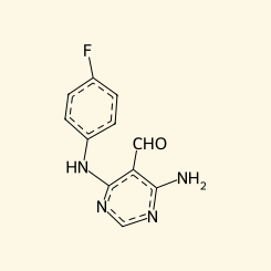 Nc1ncnc(Nc2ccc(F)cc2)c1C=O